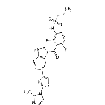 CCCS(=O)(=O)Nc1ccc(F)c(C(=O)c2c[nH]c3ncc(-c4csc(-n5ccnc5C)n4)cc23)c1F